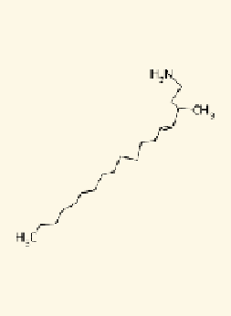 CCCCCCCCCCCCC/C=C/C(C)CCN